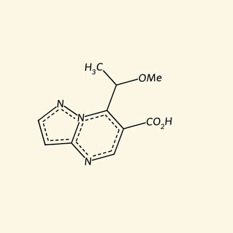 COC(C)c1c(C(=O)O)cnc2ccnn12